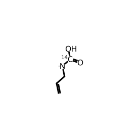 C=CC[N][14C](=O)O